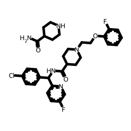 NC(=O)C1CCNCC1.O=C(NC(c1ccc(Cl)cc1)c1ccc(F)cn1)C1CCN(CCOc2ccccc2F)CC1